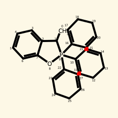 CC1c2ccccc2OP1(C1=CCCC=C1)(C1=CCCC=C1)C1=CCCC=C1